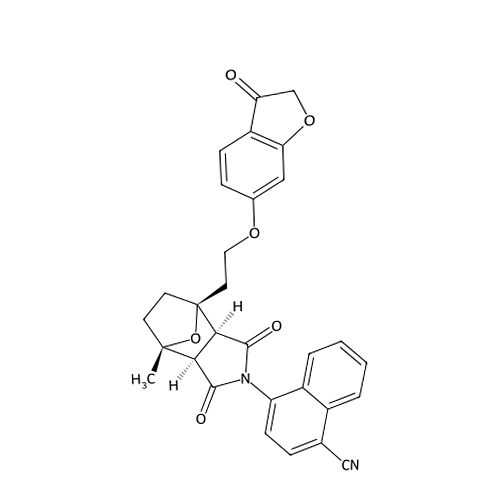 C[C@@]12CC[C@@](CCOc3ccc4c(c3)OCC4=O)(O1)[C@H]1C(=O)N(c3ccc(C#N)c4ccccc34)C(=O)[C@H]12